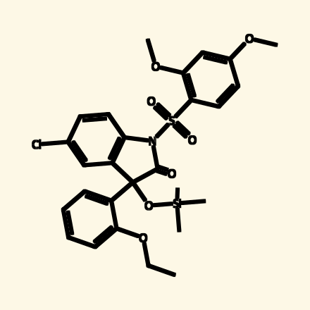 CCOc1ccccc1C1(O[Si](C)(C)C)C(=O)N(S(=O)(=O)c2ccc(OC)cc2OC)c2ccc(Cl)cc21